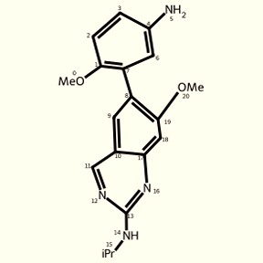 COc1ccc(N)cc1-c1cc2cnc(NC(C)C)nc2cc1OC